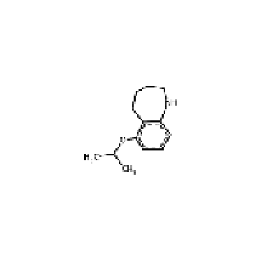 CC(C)Oc1cccc2c1CCCCN2